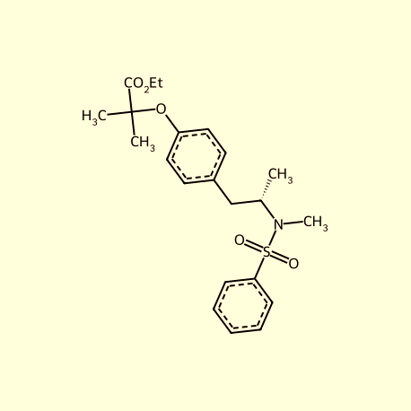 CCOC(=O)C(C)(C)Oc1ccc(C[C@H](C)N(C)S(=O)(=O)c2ccccc2)cc1